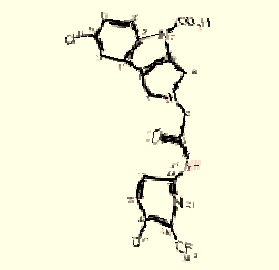 O=C(CN1Cc2c(n(C(=O)O)c3ccc(Cl)cc23)C1)Nc1ccc(Cl)c(C(F)(F)F)n1